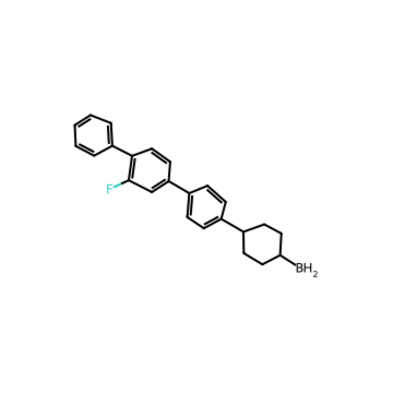 BC1CCC(c2ccc(-c3ccc(-c4ccccc4)c(F)c3)cc2)CC1